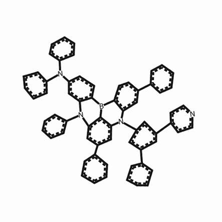 c1ccc(-c2cc(-c3ccncc3)cc(N3c4cc(-c5ccccc5)ccc4B4c5ccc(N(c6ccccc6)c6ccccc6)cc5N(c5ccccc5)c5cc(-c6ccccc6)cc3c54)c2)cc1